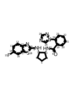 O=C(N[C@@H]1CCC[C@@H]1Nc1nc2ccc(F)cc2s1)c1ccccc1-n1cncn1